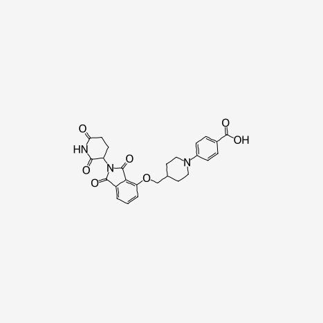 O=C1CCC(N2C(=O)c3cccc(OCC4CCN(c5ccc(C(=O)O)cc5)CC4)c3C2=O)C(=O)N1